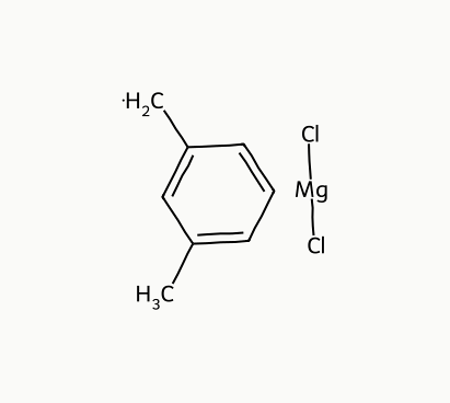 [CH2]c1cccc(C)c1.[Cl][Mg][Cl]